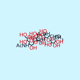 CC(=O)NC(C=O)C(OC1OC(C)C(O)C(O)C1O)C(OC1OC(CO)C(O)C(OC2(C(=O)O)CC(O)C(NC(C)=O)C(C(O)C(O)CO)O2)C1O)C(O)CO